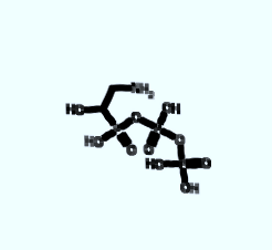 NCC(O)P(=O)(O)OP(=O)(O)OP(=O)(O)O